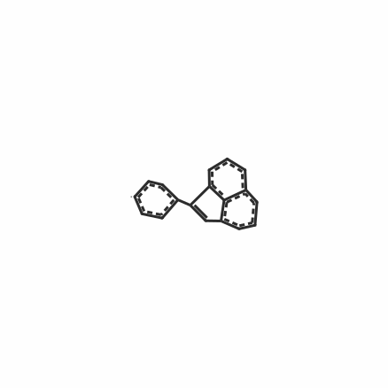 [c]1ccc(C2=Cc3cccc4cccc2c34)cc1